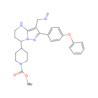 C=NCc1c(-c2ccc(Oc3ccccc3)cc2)nn2c1NCCC2C1CCN(C(=O)OC(C)(C)C)CC1